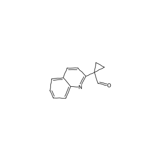 O=CC1(c2ccc3ccccc3n2)CC1